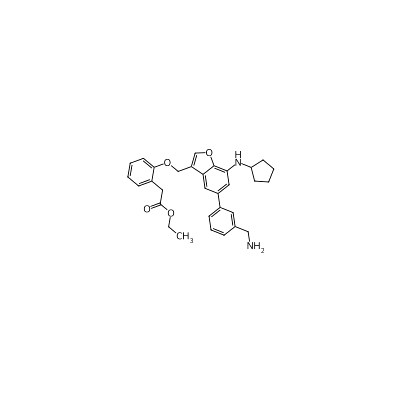 CCOC(=O)Cc1ccccc1OCc1coc2c(NC3CCCC3)cc(-c3cccc(CN)c3)cc12